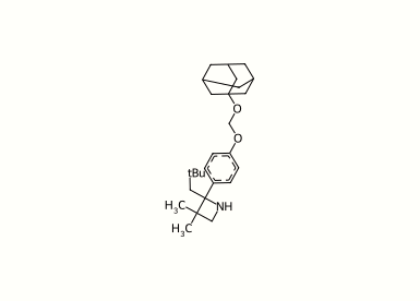 CC(C)(C)CC1(c2ccc(OCOC34CC5CC(CC(C5)C3)C4)cc2)NCC1(C)C